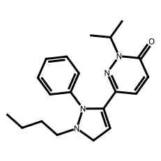 CCCCN1CC=C(c2ccc(=O)n(C(C)C)n2)N1c1ccccc1